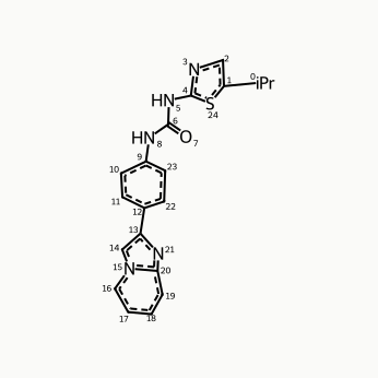 CC(C)c1cnc(NC(=O)Nc2ccc(-c3cn4ccccc4n3)cc2)s1